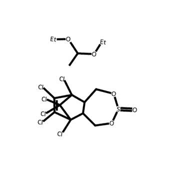 CCOC(C)OCC.O=S1OCC2C(CO1)C1(Cl)C(Cl)=C(Cl)C2(Cl)C1(Cl)Cl